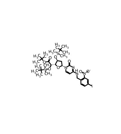 CC(C)(C)OC(=O)C(O[Si](C)(C)C(C)(C)C)[C@H]1O[C@@H](n2ccc(NCc3ccc(I)cc3[N+](=O)[O-])nc2=O)C[C@@H]1O[Si](C)(C)C(C)(C)C